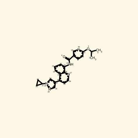 CC(C)Oc1ccc(C(=O)Nc2cccc3c(-c4cnn(C5CC5)c4)ccnc23)cn1